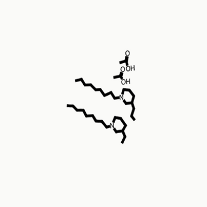 CC(=O)O.CC(=O)O.CCCCCCCCCN1CCCC(CC)C1.CCCCCCCCCN1CCCC(CCC)C1